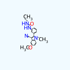 CCCNC(=O)Nc1cccc(-c2c(C#N)c3cc(OC)ccc3n2CC)c1